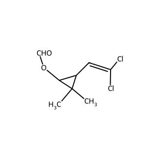 CC1(C)C(C=C(Cl)Cl)C1OC=O